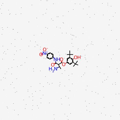 CC(N)C(C(=O)Nc1ccc([N+](=O)[O-])cc1)C(=O)Oc1cc(C(C)(C)C)c(O)c(C(C)(C)C)c1